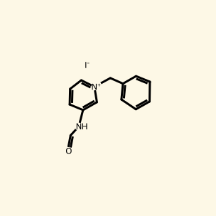 O=CNc1ccc[n+](Cc2ccccc2)c1.[I-]